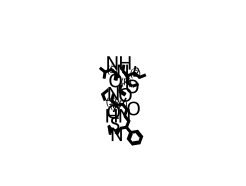 CC[C@H](C)C([C@@H](CC(=O)N1CCC[C@H]1[C@H](OC)[C@@H](C)C(=O)NCC(c1ccccc1)c1nccs1)OC)N(C)C(=O)[C@@H](N)C(C)C